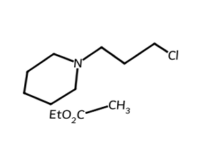 CCOC(C)=O.ClCCCN1CCCCC1